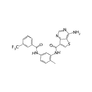 Cc1ccc(NC(=O)c2cccc(C(F)(F)F)c2)cc1NC(=O)c1csc2c(N)ncnc12